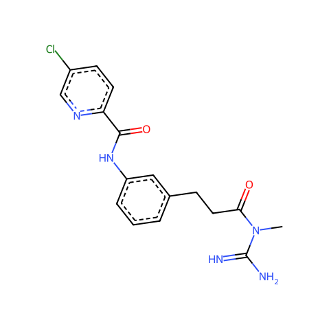 CN(C(=N)N)C(=O)CCc1cccc(NC(=O)c2ccc(Cl)cn2)c1